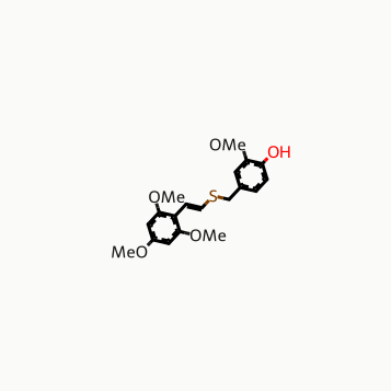 COc1cc(OC)c(C=CSCc2ccc(O)c(OC)c2)c(OC)c1